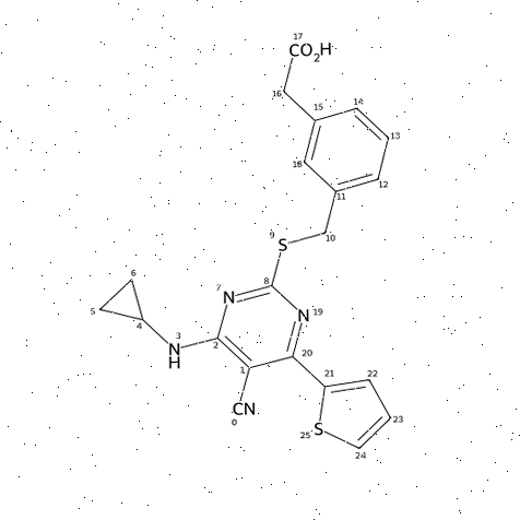 N#Cc1c(NC2CC2)nc(SCc2cccc(CC(=O)O)c2)nc1-c1cccs1